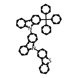 c1ccc(C(c2ccccc2)(c2ccccc2)c2ccc3c4ccccc4n(-c4ccc5c(c4)c4ccccc4n5-c4ccc5sc6ccccc6c5c4)c3c2)cc1